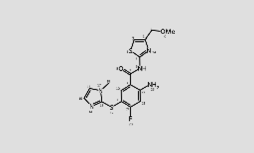 COCc1csc(NC(=O)c2cc(Sc3nccn3C)c(F)cc2N)n1